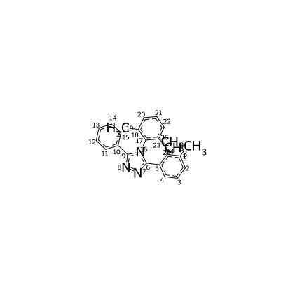 Cc1cccc(-c2nnc(-c3ccccc3)n2-c2c(C)cccc2C)c1C